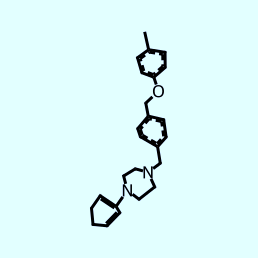 Cc1ccc(OCc2ccc(CN3CCN(C4=CCCC=C4)CC3)cc2)cc1